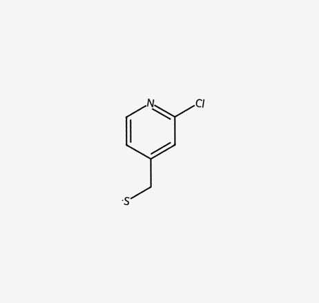 [S]Cc1ccnc(Cl)c1